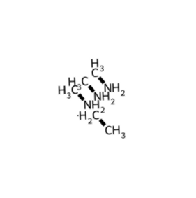 CN.CN.CN.[CH2]C